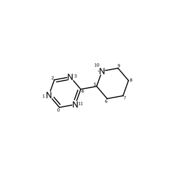 c1ncnc(C2CCCC[N]2)n1